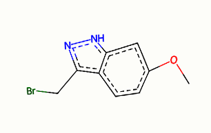 COc1ccc2c(CBr)n[nH]c2c1